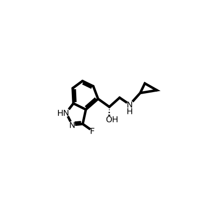 O[C@@H](CNC1CC1)c1cccc2[nH]nc(F)c12